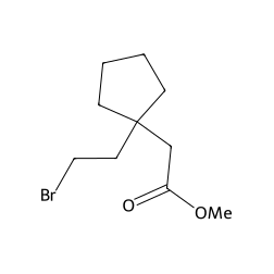 COC(=O)CC1(CCBr)CCCC1